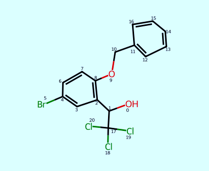 OC(c1cc(Br)ccc1OCc1ccccc1)C(Cl)(Cl)Cl